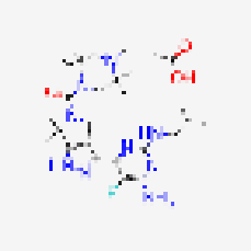 CC(=O)O.CC(C)CNc1nc(N)c(F)c(-c2n[nH]c3c2CN(C(=O)N2CC(C)(C)N(C)C[C@@H]2C)C3(C)C)n1